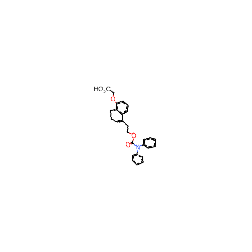 O=C(O)COc1cccc2c1CCC=C2CCOC(=O)N(c1ccccc1)c1ccccc1